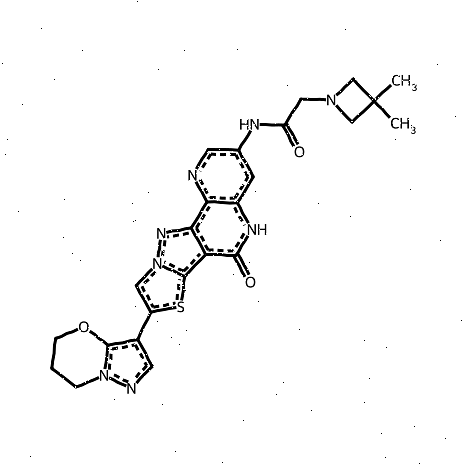 CC1(C)CN(CC(=O)Nc2cnc3c(c2)[nH]c(=O)c2c3nn3cc(-c4cnn5c4OCCC5)sc23)C1